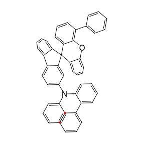 c1ccc(-c2ccccc2N(c2ccccc2)c2ccc3c(c2)C2(c4ccccc4Oc4c(-c5ccccc5)cccc42)c2ccccc2-3)cc1